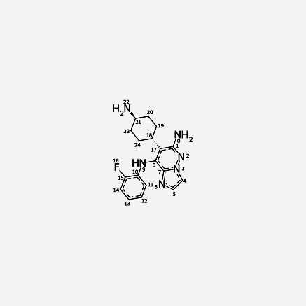 Nc1nn2ccnc2c(Nc2ccccc2F)c1[C@H]1CC[C@H](N)CC1